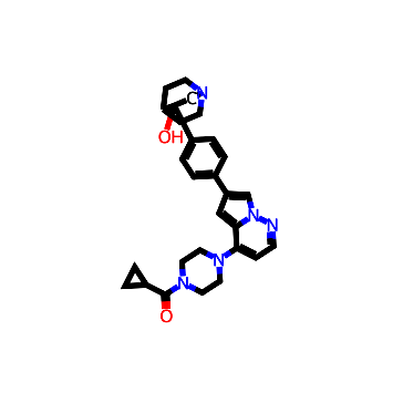 O=C(C1CC1)N1CCN(c2ccnn3cc(-c4ccc(C5(O)CN6CCC5CC6)cc4)cc23)CC1